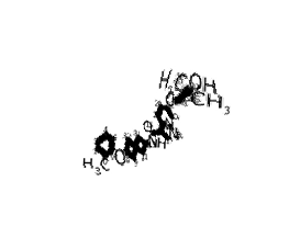 Cc1ccccc1OC1CC2(CC(NC(=O)c3cnn4cc(OCC(C)(C)O)ccc34)C2)C1